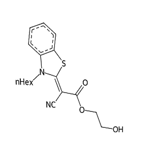 CCCCCCN1/C(=C(\C#N)C(=O)OCCO)Sc2ccccc21